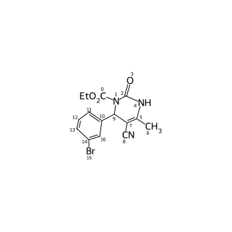 CCOC(=O)N1C(=O)NC(C)=C(C#N)C1c1cccc(Br)c1